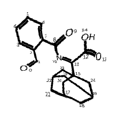 O=Cc1ccccc1C(=O)N=C(C(=O)O)C12CC3CC(CC(C3)C1)C2